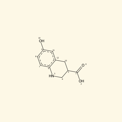 O=C(O)C1CNc2ccc(O)cc2C1